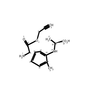 C#CCOC(=O)CN.Cc1ccccc1N[C@@H](C)C(=O)O